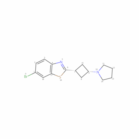 Brc1ccc2nc([C@H]3C[C@@H](N4CCCC4)C3)sc2c1